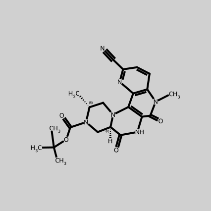 C[C@@H]1CN2c3c(c(=O)n(C)c4ccc(C#N)nc34)NC(=O)[C@H]2CN1C(=O)OC(C)(C)C